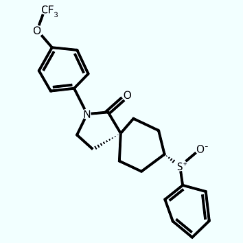 O=C1N(c2ccc(OC(F)(F)F)cc2)CC[C@]12CC[C@@H]([S+]([O-])c1ccccc1)CC2